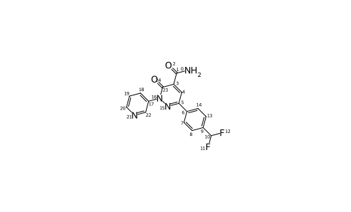 NC(=O)c1cc(-c2ccc(C(F)F)cc2)nn(-c2cccnc2)c1=O